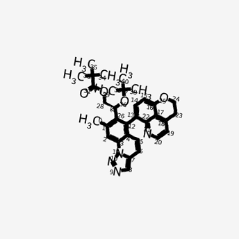 Cc1cc2c(ccc3cnnn32)c(-c2ccc3c4c(ccnc24)CCO3)c1[C@@H](COC(=O)C(C)(C)C)OC(C)(C)C